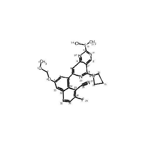 COCOc1cc(-c2cc3nc([S+](C)[O-])ncc3c(N3CCC3)n2)c2c(C#N)c(F)ccc2c1